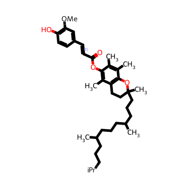 COc1cc(/C=C/C(=O)Oc2c(C)c(C)c3c(c2C)CCC(C)(CCCC(C)CCCC(C)CCCC(C)C)O3)ccc1O